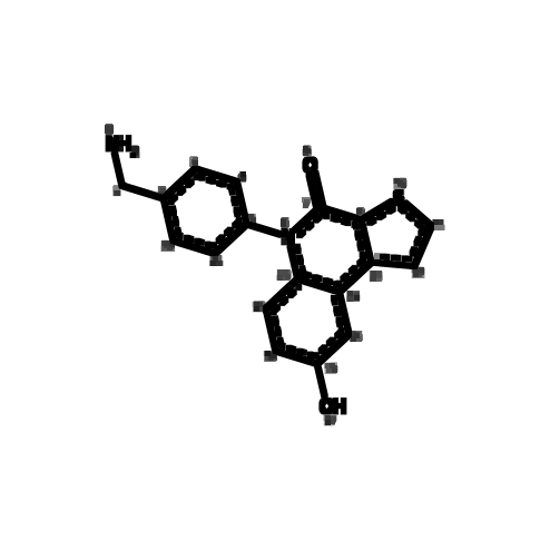 NCc1ccc(-n2c(=O)c3sccc3c3cc(O)ccc32)cc1